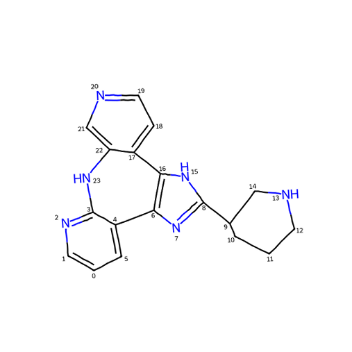 c1cnc2c(c1)-c1nc(C3CCCNC3)[nH]c1-c1ccncc1N2